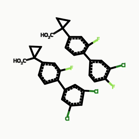 O=C(O)C1(c2ccc(-c3cc(Cl)cc(Cl)c3)c(F)c2)CC1.O=C(O)C1(c2ccc(-c3ccc(F)c(Cl)c3)c(F)c2)CC1